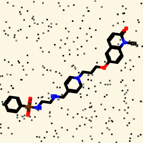 Cn1c(=O)ccc2cc(OCCCN3C=CC(CNCCNS(=O)(=O)c4ccccc4)=CC3)ccc21